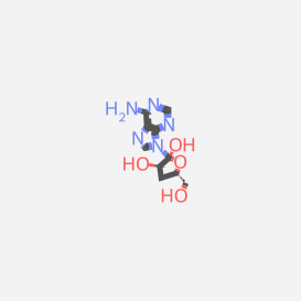 Nc1ncnc2c1ncn2[C@]1(O)O[C@H](CO)C[C@H]1O